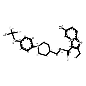 CCc1nc2ccc(Cl)cn2c1C(=O)NCC1CCN(c2ccc(OC(F)(F)F)cc2)CC1